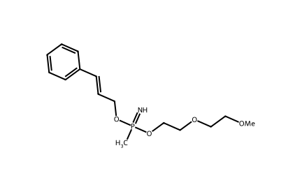 COCCOCCOP(C)(=N)OCC=Cc1ccccc1